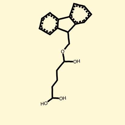 OC(O)CCCC(O)OCC1c2ccccc2-c2ccccc21